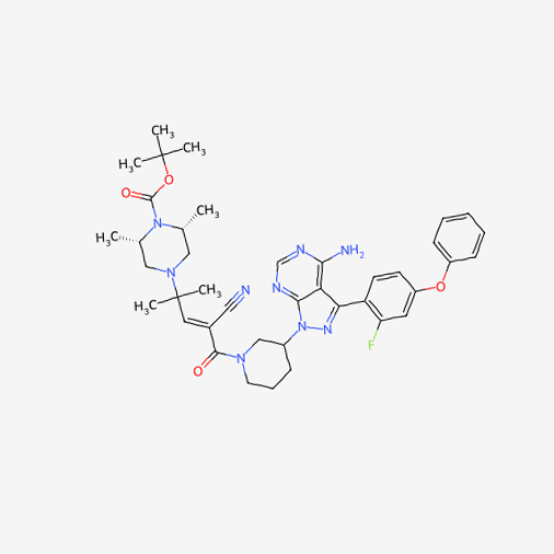 C[C@@H]1CN(C(C)(C)C=C(C#N)C(=O)N2CCCC(n3nc(-c4ccc(Oc5ccccc5)cc4F)c4c(N)ncnc43)C2)C[C@H](C)N1C(=O)OC(C)(C)C